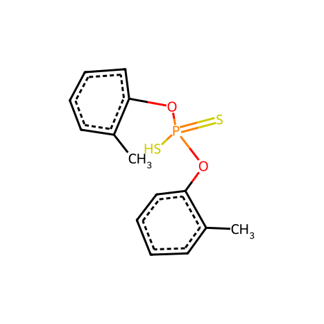 Cc1ccccc1OP(=S)(S)Oc1ccccc1C